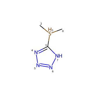 C[SH](C)c1nnn[nH]1